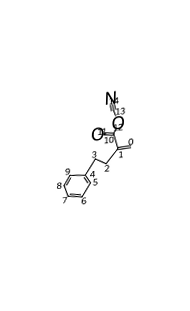 C=C(CCc1ccccc1)C(=O)OC#N